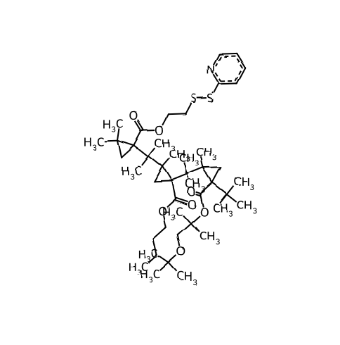 CCCCOC(=O)C1(C(C)(C)C2(C)CC2(C(=O)OC(C)(C)COC(C)(C)C)C(C)(C)C)CC1(C)C(C)(C)C1(C(=O)OCCSSc2ccccn2)CC1(C)C